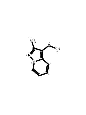 Cc1nn2ccccc2c1SC#N